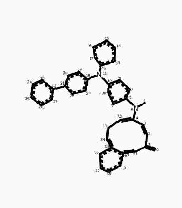 C=C1/C=C\C(N(C)c2ccc(N(c3ccccc3)c3ccc(-c4ccccc4)cc3)cc2)=C/C/C=c2/cccc/c2=C/1